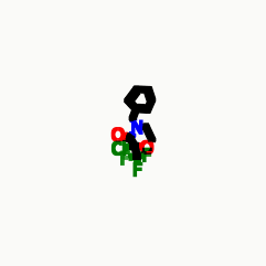 O=C1N(Cc2ccccc2)CCOC1(Cl)C(F)(F)F